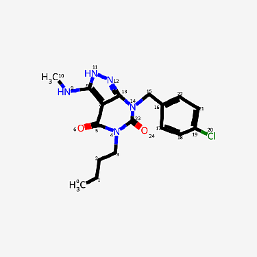 CCCCn1c(=O)c2c(NC)[nH]nc2n(Cc2ccc(Cl)cc2)c1=O